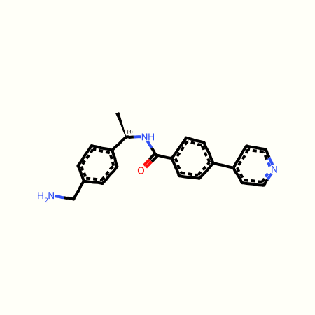 C[C@@H](NC(=O)c1ccc(-c2ccncc2)cc1)c1ccc(CN)cc1